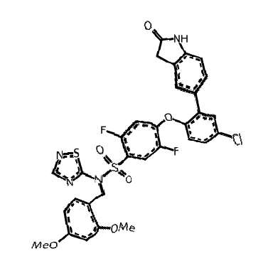 COc1ccc(CN(c2ncns2)S(=O)(=O)c2cc(F)c(Oc3ccc(Cl)cc3-c3ccc4c(c3)CC(=O)N4)cc2F)c(OC)c1